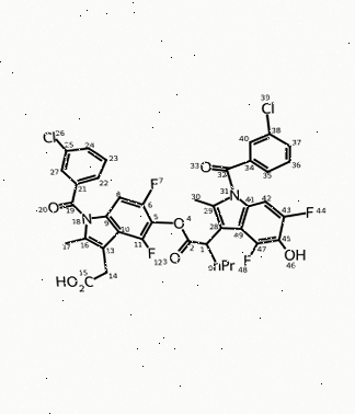 CCCC(C(=O)Oc1c(F)cc2c(c1F)c(CC(=O)O)c(C)n2C(=O)c1cccc(Cl)c1)c1c(C)n(C(=O)c2cccc(Cl)c2)c2cc(F)c(O)c(F)c12